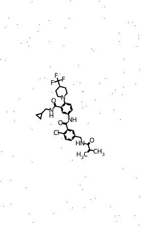 C=C(C)C(=O)NCc1ccc(Cl)c(C(=O)Nc2ccc(N3CCC(C(F)(F)F)CC3)c(C(=O)NCC3CC3)c2)c1